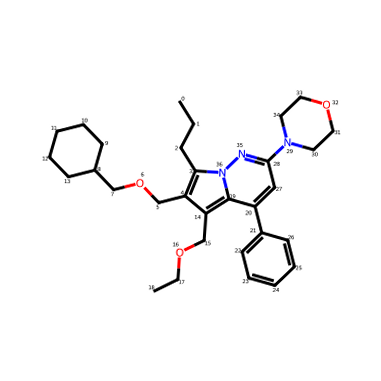 CCCc1c(COCC2CCCCC2)c(COCC)c2c(-c3ccccc3)cc(N3CCOCC3)nn12